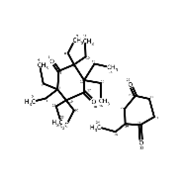 CCC1(CC)C(=O)C(CC)(CC)C(CC)(CC)C(=O)C1(CC)CC.CCC1CC(=O)CCC1=O